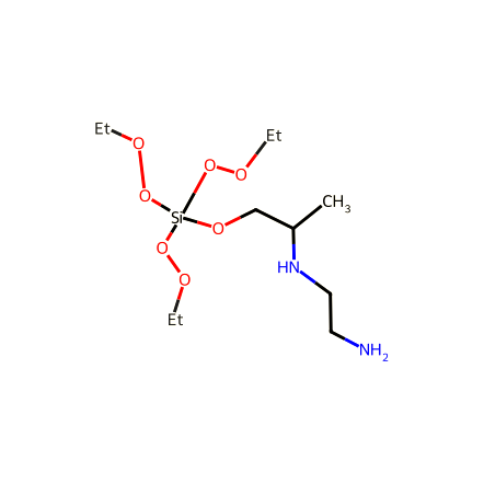 CCOO[Si](OCC(C)NCCN)(OOCC)OOCC